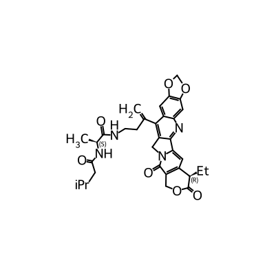 C=C(CCNC(=O)[C@H](C)NC(=O)CC(C)C)c1c2c(nc3cc4c(cc13)OCO4)-c1cc3c(c(=O)n1C2)COC(=O)[C@@H]3CC